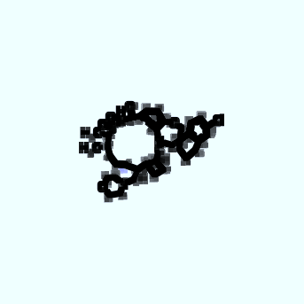 C[C@@H]1[C@@H](C)C/C=C/[C@H](CN2CCOCC2)[C@@H]2CC[C@H]2CN2C[C@@]3(CCCc4cc(Cl)ccc43)COc3ccc(cc32)C(=O)NS1(=O)=O